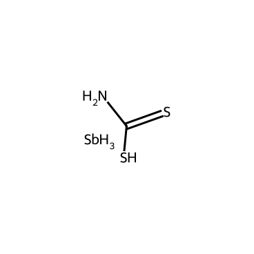 NC(=S)S.[SbH3]